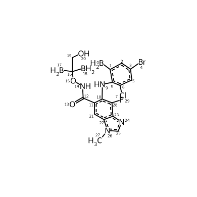 Bc1cc(Br)cc(Cl)c1Nc1c(C(=O)NOC(B)(B)CO)cc2c(ncn2C)c1F